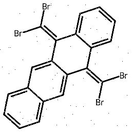 BrC(Br)=c1c2ccccc2c(=C(Br)Br)c2cc3ccccc3cc12